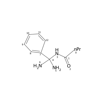 CCCC(=O)NC(N)(N)c1ccccc1